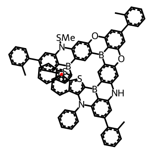 CSN1c2cc3c(cc2B2c4sc5ccccc5c4Oc4cc(-c5ccccc5C)cc1c42)B1c2cc4c(cc2Oc2cc(-c5ccccc5C)cc(c21)O3)Nc1cc(-c2ccccc2C)cc2c1B4c1sc3ccccc3c1N2c1ccccc1